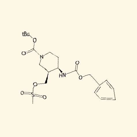 CC(C)(C)OC(=O)N1CC[C@@H](NC(=O)OCc2ccccc2)[C@@H](COS(C)(=O)=O)C1